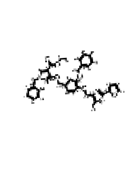 CCOC(=O)c1cn(Cc2ccccc2)nc1OCc1ccc(OCc2nc(-c3ccco3)oc2C)c(OCc2ccccc2)c1